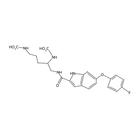 O=C(O)NCCCC(CNC(=O)c1cc2ccc(Oc3ccc(F)cc3)cc2[nH]1)NC(=O)O